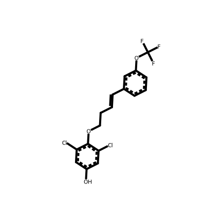 Oc1cc(Cl)c(OCC/C=C/c2cccc(OC(F)(F)F)c2)c(Cl)c1